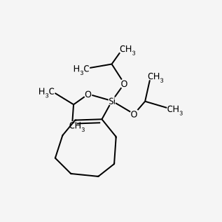 CC(C)O[Si](OC(C)C)(OC(C)C)C1=CCCCCCC1